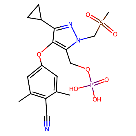 Cc1cc(Oc2c(C3CC3)nn(CS(C)(=O)=O)c2COP(=O)(O)O)cc(C)c1C#N